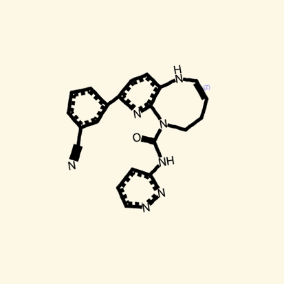 N#Cc1cccc(-c2ccc3c(n2)N(C(=O)Nc2cccnn2)CC/C=C\N3)c1